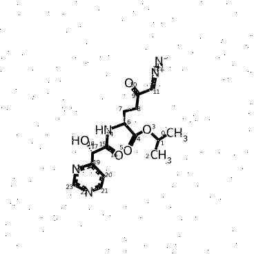 CC(C)OC(=O)[C@H](CCC(=O)C=[N+]=[N-])NC(=O)[C@@H](O)c1ccncn1